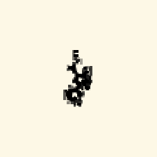 FC[C@H]1C[C@@H]1c1cc(-c2cncnc2)nnc1Cl